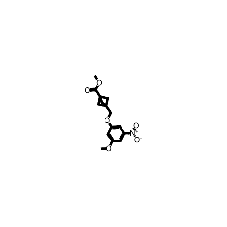 COC(=O)C12CC(COc3cc(OC)cc([N+](=O)[O-])c3)(C1)C2